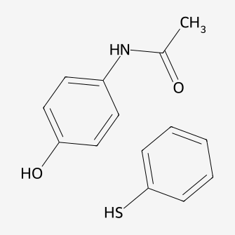 CC(=O)Nc1ccc(O)cc1.Sc1ccccc1